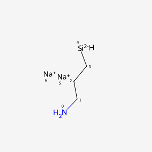 NCCC[SiH-2].[Na+].[Na+]